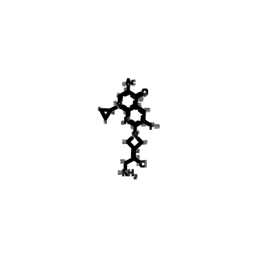 CC(=O)c1cn(C2CC2)c2nc(N3CC(=C(Cl)CN)C3)c(F)cc2c1=O